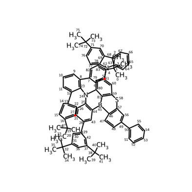 CC(C)(C)c1ccc(-c2cccc(-c3ccc(C(C)(C)C)cc3)c2N2c3ccc(-c4cc(C(C)(C)C)cc(C(C)(C)C)c4)cc3B3c4ccc(-c5ccccc5)cc4Sc4cc(-n5c6ccccc6c6cc(C(C)(C)C)ccc65)cc2c43)cc1